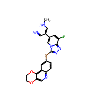 CN/C=C(\C=N)c1cc(F)c2nnc(Sc3ccc4ncc5c(c4c3)OCCO5)n2c1